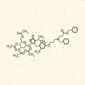 CC(=O)OC[C@H]1O[C@@H](Oc2n[nH]c(C(C)C)c2Cc2ccc(OCCCN(CCC(=O)OCc3ccccc3)Cc3ccccc3)cc2C)[C@H](OC(C)=O)[C@@H](OC(C)=O)[C@@H]1OC(C)=O